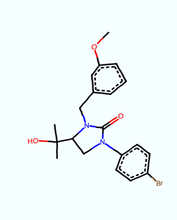 COc1cccc(CN2C(=O)N(c3ccc(Br)cc3)CC2C(C)(C)O)c1